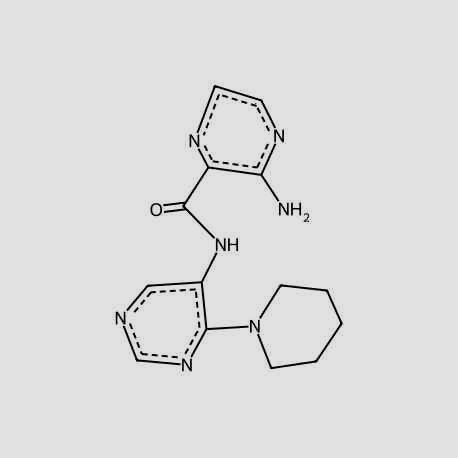 Nc1nccnc1C(=O)Nc1cncnc1N1CCCCC1